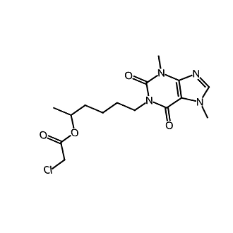 CC(CCCCn1c(=O)c2c(ncn2C)n(C)c1=O)OC(=O)CCl